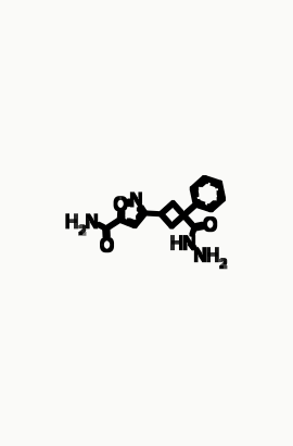 NNC(=O)C1(c2ccccc2)CC(c2cc(C(N)=O)on2)C1